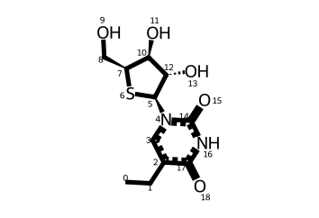 CCc1cn([C@H]2S[C@@H](CO)[C@@H](O)[C@@H]2O)c(=O)[nH]c1=O